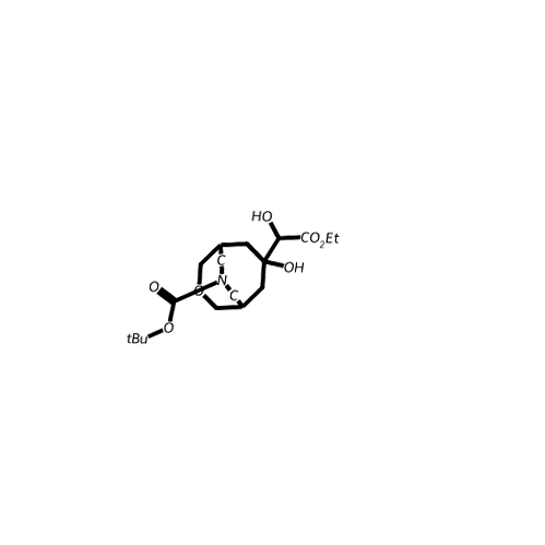 CCOC(=O)C(O)C1(O)CC2COCC(CN(C(=O)OC(C)(C)C)C2)C1